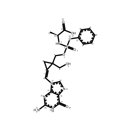 C[C@H](NP(=O)(OCC1(CO)C/C1=C/n1cnc2c(=O)[nH]c(N)nc21)Oc1ccccc1)C(=O)O